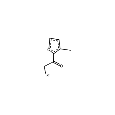 Cc1ccoc1C(=O)CC(C)C